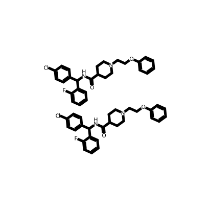 O=C(NC(c1ccc(Cl)cc1)c1ccccc1F)C1CCN(CCOc2ccccc2)CC1.O=C(NC(c1ccc(Cl)cc1)c1ccccc1F)C1CCN(CCOc2ccccc2)CC1